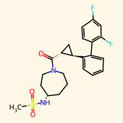 CS(=O)(=O)N[C@H]1CCCN(C(=O)[C@@H]2C[C@H]2c2ccccc2-c2ccc(F)cc2F)CC1